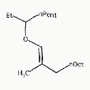 CCCCCCCCCC(C)=COC(CC)CCCCC